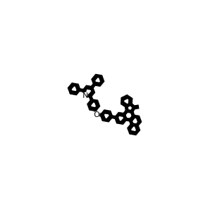 C=C1c2ccccc2C2c3cc(-c4ccc(Oc5ccc(-c6cc(-c7ccccc7)cc(-c7ccccc7)n6)cc5)cc4)ccc3-c3c(ccc4ccccc34)C12